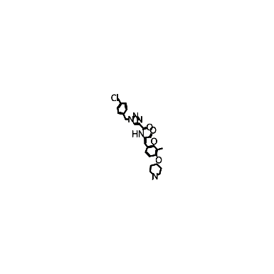 Cc1c(OC2CCN(C)CC2)ccc2cc(NC(=O)c3cn(Cc4ccc(Cl)cc4)nn3)c(=O)oc12